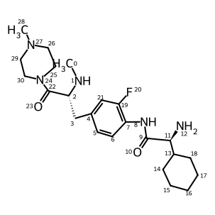 CN[C@H](Cc1ccc(NC(=O)[C@@H](N)C2CCCCC2)c(F)c1)C(=O)N1CCN(C)CC1